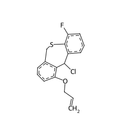 C=CCOc1cccc2c1C(Cl)c1cccc(F)c1SC2